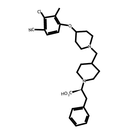 Cc1c(OC2CCN(CC3CCN([C@@H](Cc4ccccc4)C(=O)O)CC3)CC2)ccc(C#N)c1Cl